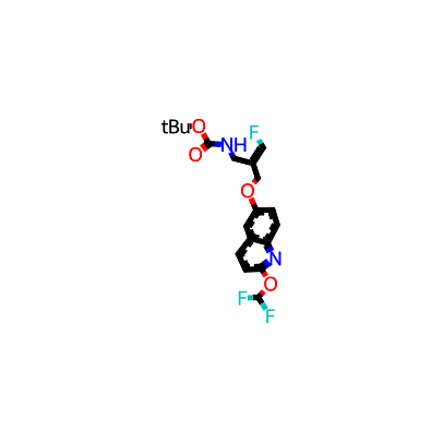 CC(C)(C)OC(=O)NC/C(=C\F)COc1ccc2nc(OC(F)F)ccc2c1